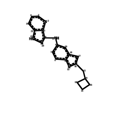 c1cnc2c(Nc3ccc4nn(CC5CCC5)cc4c3)n[nH]c2c1